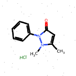 Cc1cc(=O)n(-c2ccccc2)n1C.Cl